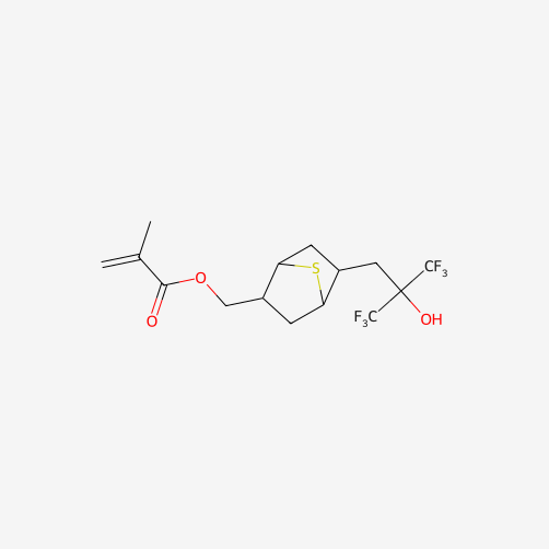 C=C(C)C(=O)OCC1CC2SC1CC2CC(O)(C(F)(F)F)C(F)(F)F